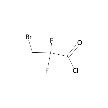 O=C(Cl)C(F)(F)CBr